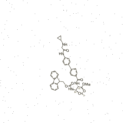 COC(=O)[C@@H](NC(=O)c1ccc(-c2ccc(NC(=O)CNC3CC3)cc2)cc1)[C@@H](C)NC(=O)OCC1c2ccccc2-c2ccccc21